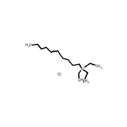 CCCCCCCCCC[N+](CC)(CC)CC.[Cl-]